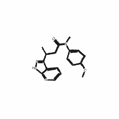 COC1C=CC(N(C)C(=O)CC(C)c2n[nH]c3ncccc23)=CC1